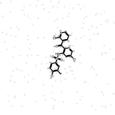 Cc1cc(S(=O)(=O)Nc2cc(Cl)cnc2C(=O)c2cccnc2Cl)ccc1Cl